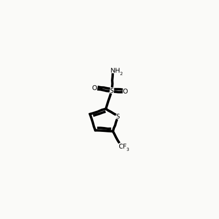 NS(=O)(=O)c1ccc(C(F)(F)F)s1